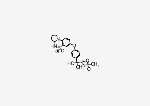 CC(O)(CNS(C)(=O)=O)c1ccc(Oc2ccc3c(c2)S(=O)(=O)NC2CCCN32)cc1